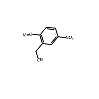 COc1ccc([N+](=O)[O-])cc1CC#N